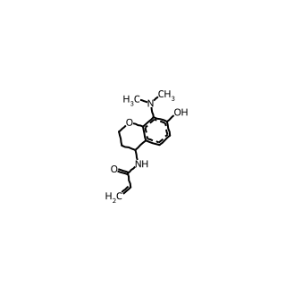 C=CC(=O)NC1CCOc2c1ccc(O)c2N(C)C